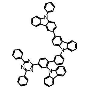 c1ccc(-c2nc(-c3ccccc3)nc(-c3ccc(-c4cccc(-n5c6ccccc6c6cc(-c7ccc8c(c7)c7ccccc7n8-c7ccccc7)ccc65)c4)c(-n4c5ccccc5c5ccccc54)c3)n2)cc1